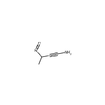 CC(C#CN)N=O